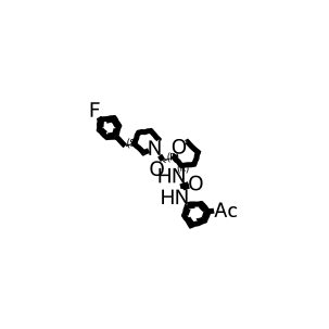 CC(=O)c1cccc(NC(=O)N[C@@H]2CCCO[C@H]2C(=O)N2CCC[C@@H](Cc3ccc(F)cc3)C2)c1